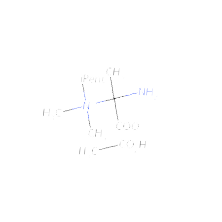 CC(=O)O.CCCC(C)[N+](C)(C)C(C)(N)C(=O)[O-]